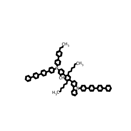 CCCCCCc1cc(-c2ccc(N(c3ccc(-c4ccc(CCC)cc4)cc3)c3ccc(-c4ccc(-c5ccc(-c6ccccc6)cc5)cc4)cc3)cc2C)c(CCCCCC)cc1-c1ccc2c(c1)c1ccccc1n2-c1ccc(-c2ccc(-c3ccc(-c4ccccc4)cc3)cc2)cc1